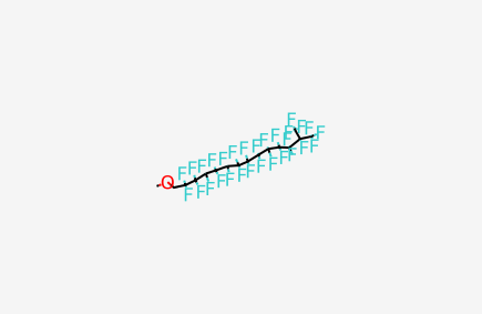 COCC(F)(F)C(F)(F)C(F)(F)C(F)(F)C(F)(F)C(F)(F)C(F)(F)C(F)(F)C(F)(F)C(F)(F)C(F)(F)C(F)(C(F)(F)F)C(F)(F)F